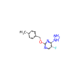 Cc1ccc(COc2ncc(F)c(NN)n2)cc1